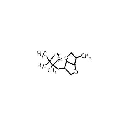 CCC(C)(CC1COC2C(C)COC12)C(C)(C)C(C)C